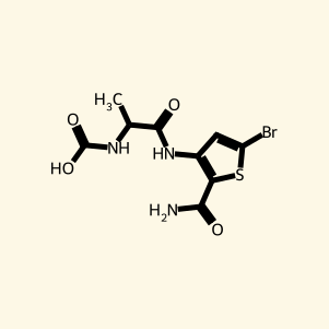 CC(NC(=O)O)C(=O)Nc1cc(Br)sc1C(N)=O